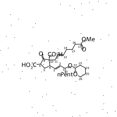 CCCCCC(C=CC1CC(C(=O)O)C(=O)C1(CC=CCCCC(=O)OC)C(=O)O)OC1CCCCO1